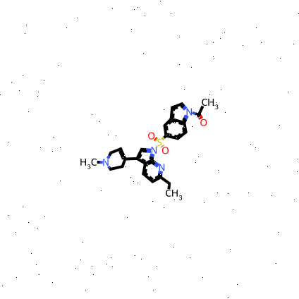 CCc1ccc2c(C3=CCN(C)CC3)cn(S(=O)(=O)c3ccc4c(ccn4C(C)=O)c3)c2n1